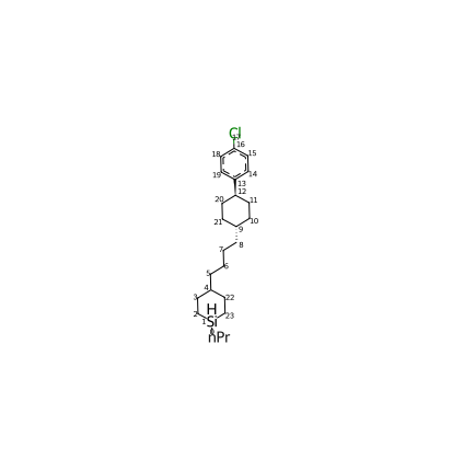 CCC[SiH]1CCC(CCCC[C@H]2CC[C@H](c3ccc(Cl)cc3)CC2)CC1